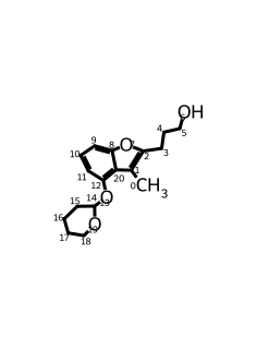 Cc1c(CCCO)oc2cccc(OC3CCCCO3)c12